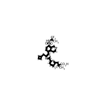 C[C@H](NS(=O)(=O)c1ccc(-c2sc(-c3cccc(CC(C)(C)C(=O)O)n3)nc2CC2CCC2)c2ccncc12)C(F)(F)F